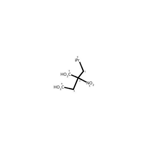 CC(C)CC(CC(=O)O)(C(=O)O)[N+](=O)[O-]